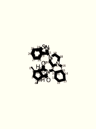 C[C@@H]1C[C@H](C)[C@H]2C(=O)N(C[C@@H]3CCCC[C@H]3CN3CCN(c4nsc5ccccc45)CC3)C(=O)[C@H]21